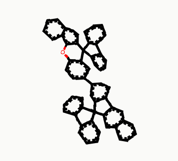 c1ccc2c(c1)-c1ccccc1C21c2cc(-c3ccc4c(c3)C3(c5ccccc5-c5ccccc53)c3ccc5ccccc5c3O4)ccc2-c2cc3ccccc3cc21